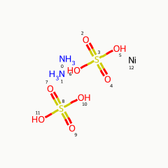 N.N.O=S(=O)(O)O.O=S(=O)(O)O.[Ni]